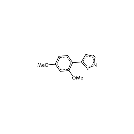 COc1ccc(-c2csnn2)c(OC)c1